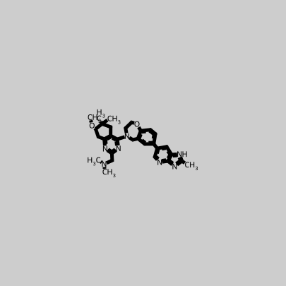 COC1Cc2nc(CN(C)C)nc(N3CCOc4ccc(-c5cnc6nc(C)[nH]c6c5)cc4C3)c2CC1(C)C